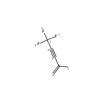 C=C(C)C#CC(F)(F)F